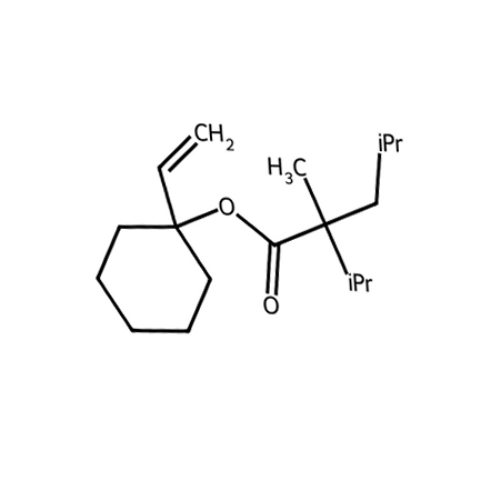 C=CC1(OC(=O)C(C)(CC(C)C)C(C)C)CCCCC1